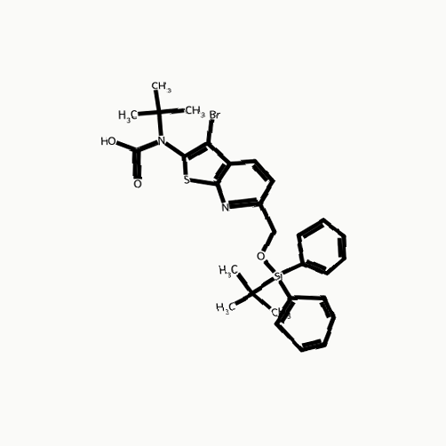 CC(C)(C)N(C(=O)O)c1sc2nc(CO[Si](c3ccccc3)(c3ccccc3)C(C)(C)C)ccc2c1Br